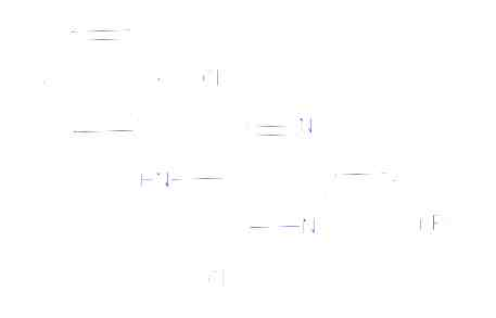 CCCSc1nc(Cl)c(Nc2ccccc2)c(Cl)n1